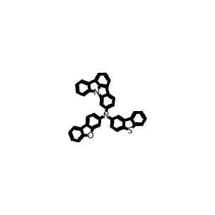 c1ccc2c(c1)oc1cc(N(c3ccc4sc5ccccc5c4c3)c3ccc4c5cccc6c7ccccc7n(c4c3)c65)ccc12